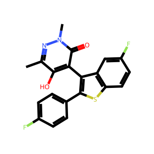 Cc1nn(C)c(=O)c(-c2c(-c3ccc(F)cc3)sc3ccc(F)cc23)c1O